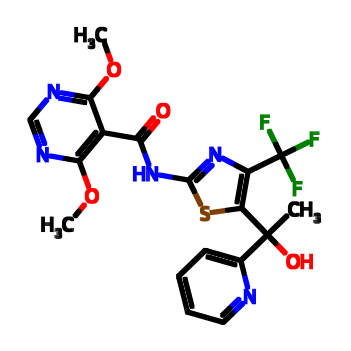 COc1ncnc(OC)c1C(=O)Nc1nc(C(F)(F)F)c(C(C)(O)c2ccccn2)s1